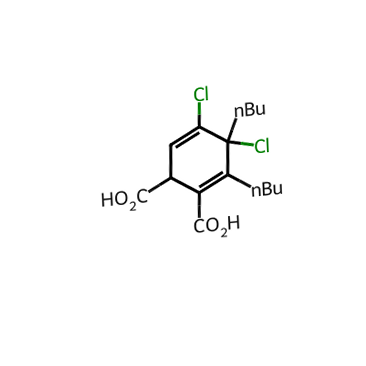 CCCCC1=C(C(=O)O)C(C(=O)O)C=C(Cl)C1(Cl)CCCC